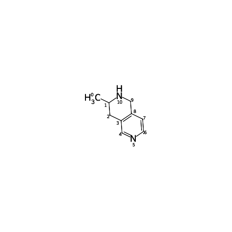 CC1Cc2cn[c]cc2CN1